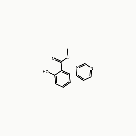 COC(=O)c1ccccc1O.c1cncnc1